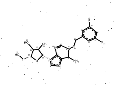 NC1c2ncn([C@@H]3O[C@H](CO)C(O)C3O)c2N=CN1OCc1cc(F)cc(F)c1